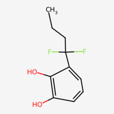 CCCC(F)(F)c1cccc(O)c1O